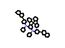 c1ccc(N(c2ccc(-c3ccc4ccccc4c3)cc2)c2cc(N(c3ccccc3)c3ccc(-c4ccc5ccccc5c4)cc3)c3c(c2)C2(c4ccccc4-c4ccccc42)c2ccccc2-3)cc1